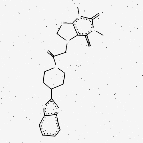 Cn1c2c(c(=O)n(C)c1=O)N(CC(=O)N1CCC(c3nc4ccccc4o3)CC1)CN2